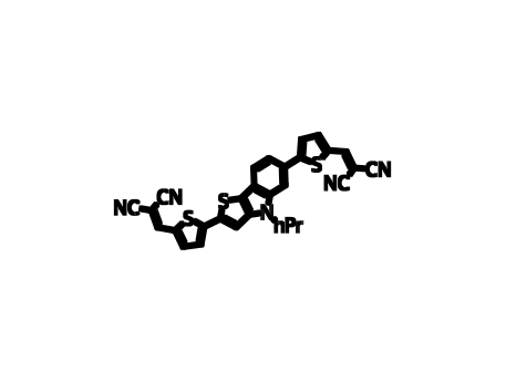 CCCn1c2cc(-c3ccc(C=C(C#N)C#N)s3)ccc2c2sc(-c3ccc(C=C(C#N)C#N)s3)cc21